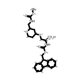 CC(C)(C)OC(=O)NCC1CC(OC[C@H](NC(=O)OCC2c3ccccc3-c3ccccc32)C(=O)O)CCO1